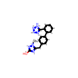 CCCCn1nc(O)nc1Cc1ccc(-c2ccccc2-c2nnn[nH]2)cc1